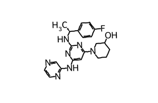 C[C@H](Nc1nc(Nc2cnccn2)cc(N2CCCC(O)C2)n1)c1ccc(F)cc1